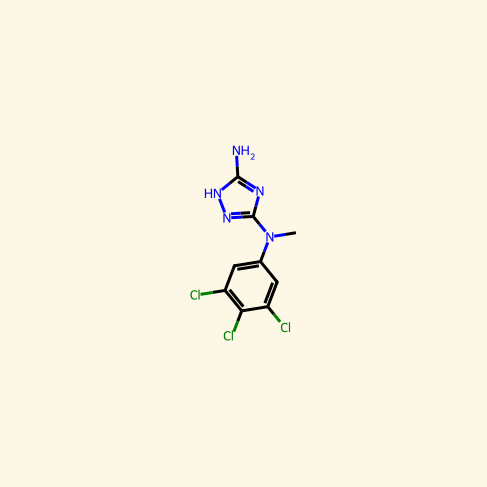 CN(c1cc(Cl)c(Cl)c(Cl)c1)c1n[nH]c(N)n1